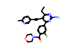 CCc1nc(N)nc(-c2ccc(C(=O)N3CCOCC3)c(F)c2)c1C#Cc1ccc(C)nc1